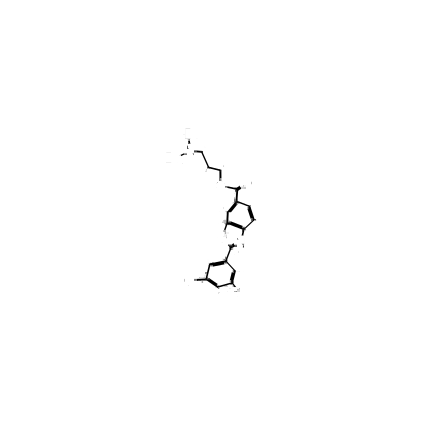 CCN(CC)CCCOC(=O)c1ccc2nc(-c3cc(Cl)cc(Cl)c3)oc2c1